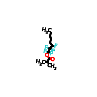 C=C(C)C(=O)OC(F)(F)C(F)(F)C(F)CCCCC